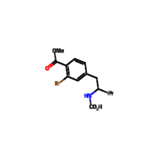 COC(=O)c1ccc(CC(NC(=O)O)C(C)C)cc1Br